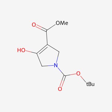 COC(=O)C1=C(O)CN(C(=O)OC(C)(C)C)C1